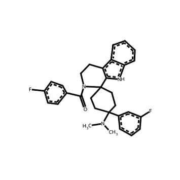 CN(C)C1(c2cccc(F)c2)CCC2(CC1)c1[nH]c3ccccc3c1CCN2C(=O)c1ccc(F)cc1